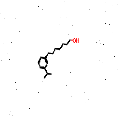 CC(C)c1cccc(CCCCCCCO)c1